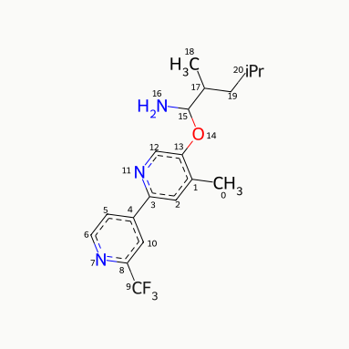 Cc1cc(-c2ccnc(C(F)(F)F)c2)ncc1OC(N)C(C)CC(C)C